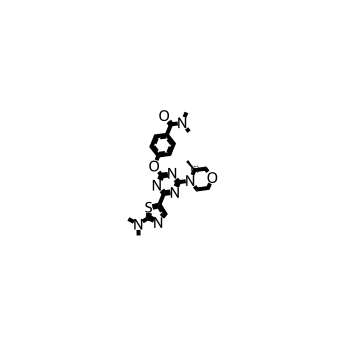 C[C@H]1COCCN1c1nc(Oc2ccc(C(=O)N(C)C)cc2)nc(-c2cnc(N(C)C)s2)n1